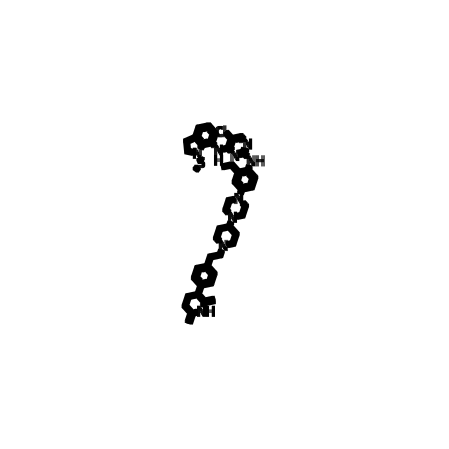 C=C1CCC(c2ccc(CCN3CCC(N4CCN(c5ccc(Nc6ncc(Cl)c(Nc7cccc8c7N(SC)CC8)n6)c(CC)c5)CC4)CC3)cc2)C(=C)N1